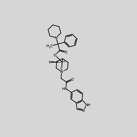 CC(C(=O)O[C@H]1C[N+]2(CC(=O)Nc3ccc4[nH]ncc4c3)CCC1CC2)(c1ccccc1)N1CCCCC1